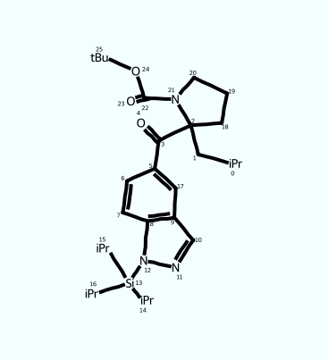 CC(C)CC1(C(=O)c2ccc3c(cnn3[Si](C(C)C)(C(C)C)C(C)C)c2)CCCN1C(=O)OC(C)(C)C